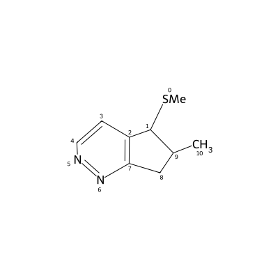 CSC1c2ccnnc2CC1C